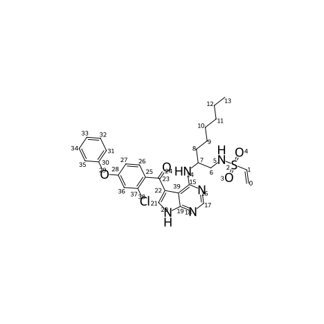 C=CS(=O)(=O)NCC(CCCCCC)Nc1ncnc2[nH]cc(C(=O)c3ccc(Oc4ccccc4)cc3Cl)c12